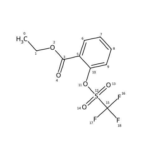 CCOC(=O)c1ccccc1OS(=O)(=O)C(F)(F)F